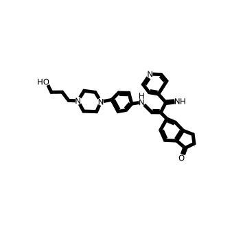 N=C(/C(=C\Nc1ccc(N2CCN(CCCO)CC2)cc1)c1ccc2c(c1)CCC2=O)c1ccncc1